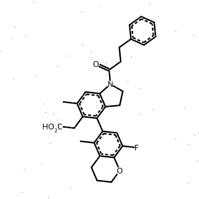 Cc1cc2c(c(-c3cc(F)c4c(c3C)CCCO4)c1CC(=O)O)CCN2C(=O)CCc1ccccc1